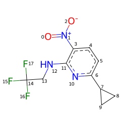 O=[N+]([O-])c1ccc(C2CC2)nc1NCC(F)(F)F